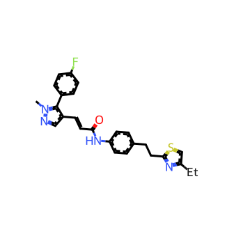 CCc1csc(CCc2ccc(NC(=O)/C=C/c3cnn(C)c3-c3ccc(F)cc3)cc2)n1